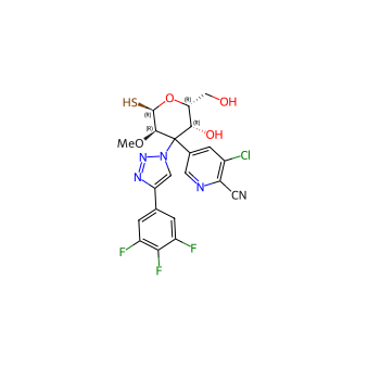 CO[C@H]1[C@@H](S)O[C@H](CO)[C@H](O)C1(c1cnc(C#N)c(Cl)c1)n1cc(-c2cc(F)c(F)c(F)c2)nn1